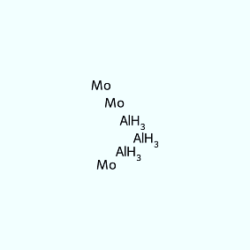 [AlH3].[AlH3].[AlH3].[Mo].[Mo].[Mo]